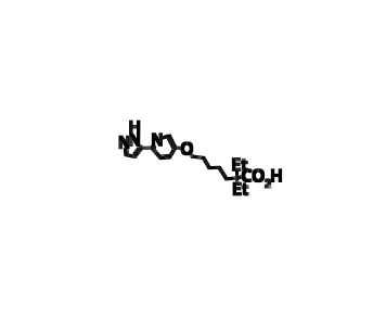 CCC(CC)(CCCCCOc1ccc(-c2ccn[nH]2)nc1)C(=O)O